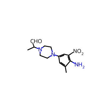 Cc1cc(N2CCN(C(C)C=O)CC2)cc([N+](=O)[O-])c1N